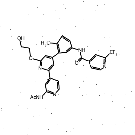 CC(=O)Nc1cc(-c2cc(-c3cc(NC(=O)c4ccnc(C(F)(F)F)c4)ccc3C)cc(OCCO)n2)ccn1